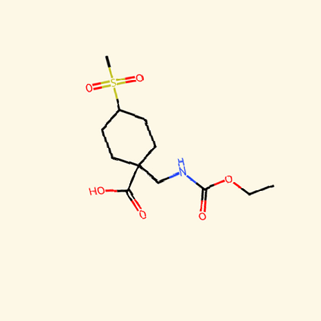 CCOC(=O)NCC1(C(=O)O)CCC(S(C)(=O)=O)CC1